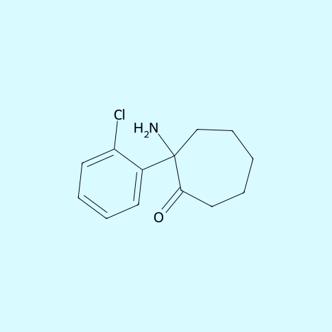 NC1(c2ccccc2Cl)CCCCCC1=O